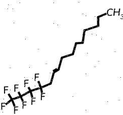 CCCCCCCC/C=C/CC(F)(F)C(F)(F)C(F)(F)C(F)(F)F